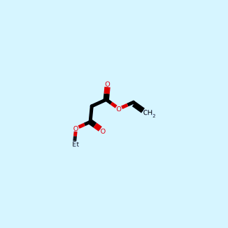 C=COC(=O)CC(=O)OCC